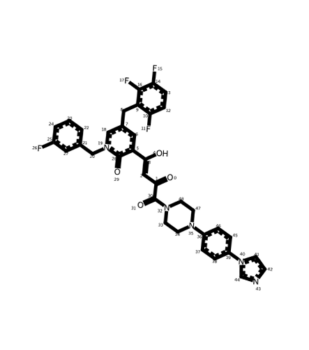 O=C(C=C(O)c1cc(Cc2c(F)ccc(F)c2F)cn(Cc2cccc(F)c2)c1=O)C(=O)N1CCN(c2ccc(-n3ccnc3)cc2)CC1